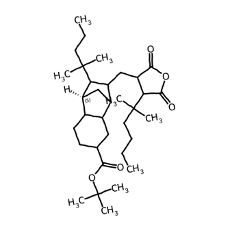 CCCCC(C)(C)C1C(=O)OC(=O)C1CC1C2C[C@@H](C3CCC(C(=O)OC(C)(C)C)CC23)C1C(C)(C)CCC